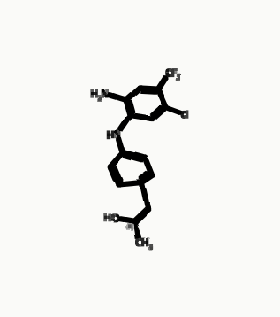 C[C@@H](O)Cc1ccc(Nc2cc(Cl)c(C(F)(F)F)cc2N)cc1